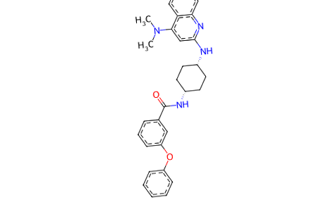 CN(C)c1cc(N[C@H]2CC[C@@H](NC(=O)c3cccc(Oc4ccccc4)c3)CC2)nc2ccccc12